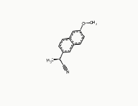 COc1ccc2cc([C@H](C)C#N)ccc2c1